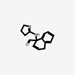 O=CC1(NC2=NCCC2)C=CCc2ccccc21